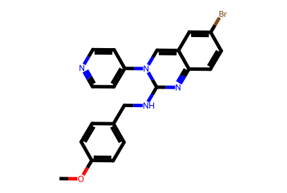 COc1ccc(CNC2N=c3ccc(Br)cc3=CN2c2ccncc2)cc1